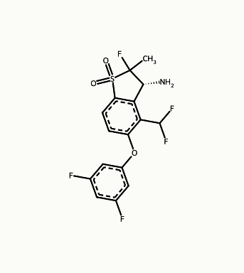 CC1(F)[C@H](N)c2c(ccc(Oc3cc(F)cc(F)c3)c2C(F)F)S1(=O)=O